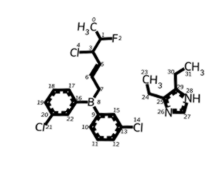 CC(F)C(Cl)C=CCB(c1cccc(Cl)c1)c1cccc(Cl)c1.CCc1nc[nH]c1CC